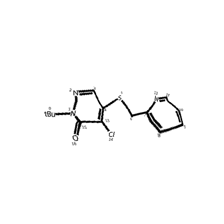 CC(C)(C)n1ncc(SCc2ccccn2)c(Cl)c1=O